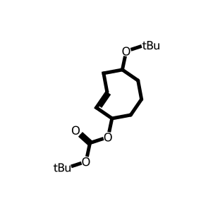 CC(C)(C)OC(=O)OC1/C=C/CC(OC(C)(C)C)CCC1